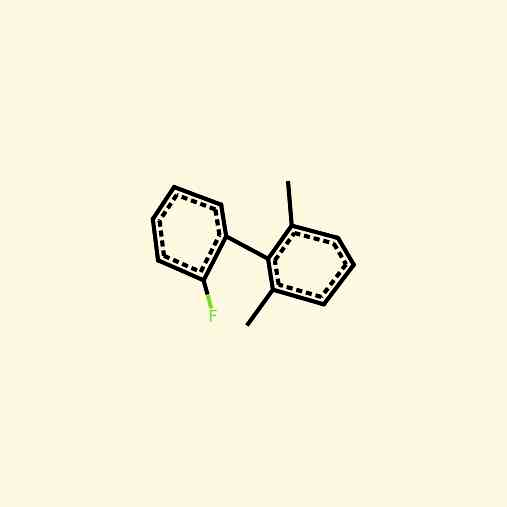 Cc1cccc(C)c1-c1ccccc1F